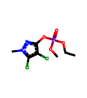 CCOP(=O)(OC)Oc1nn(C)c(Cl)c1Cl